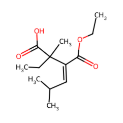 CCOC(=O)C(=CC(C)C)C(C)(CC)C(=O)O